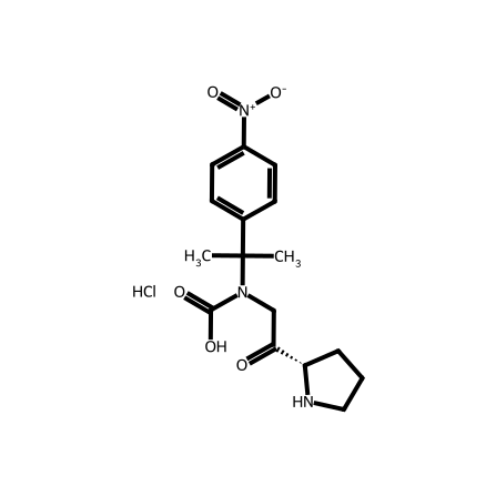 CC(C)(c1ccc([N+](=O)[O-])cc1)N(CC(=O)[C@@H]1CCCN1)C(=O)O.Cl